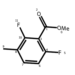 COC(=O)c1c(F)ccc(C)c1F